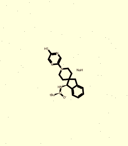 CC(C)(C)[S@+]([O-])N[C@@H]1c2ccccc2CC12CCN(c1cnc(S)cn1)CC2.[NaH]